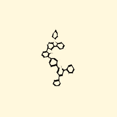 c1ccc(-c2cc(-c3ccccc3)nc(-c3ccc(-c4cccc5c4oc4c5ccc5c4c4ccccc4n5-c4ccccc4)cc3)c2)cc1